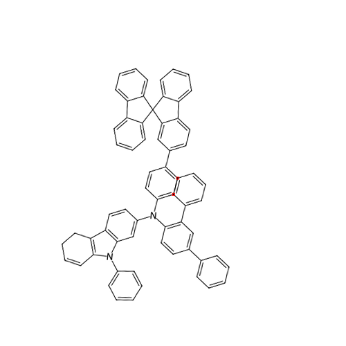 C1=Cc2c(c3ccc(N(c4ccc(-c5ccc6c(c5)C5(c7ccccc7-c7ccccc75)c5ccccc5-6)cc4)c4ccc(-c5ccccc5)cc4-c4ccccc4)cc3n2-c2ccccc2)CC1